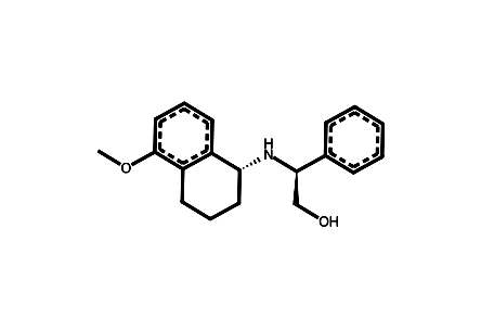 COc1cccc2c1CCC[C@H]2N[C@H](CO)c1ccccc1